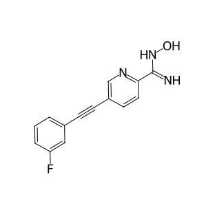 N=C(NO)c1ccc(C#Cc2cccc(F)c2)cn1